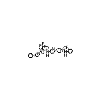 O=C(Nc1ccc(N2CCN(C(=O)Nc3ccccc3F)CC2)nc1)c1oc(N2CC[C@@H](c3ccccc3)C2)nc1C(F)(F)F